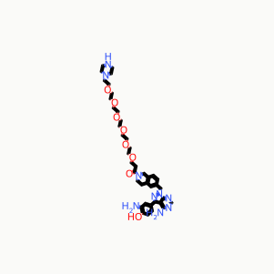 Nc1cc(-c2nn(Cc3ccc4c(c3)CCN(C(=O)CCOCCOCCOCCOCCOCCOCCN3CCNCC3)C4)c3ncnc(N)c23)ccc1O